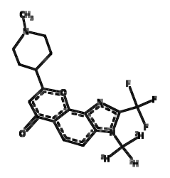 [2H]C([2H])([2H])n1c(C(F)(F)F)nc2c3oc(C4CCN(C)CC4)cc(=O)c3ccc21